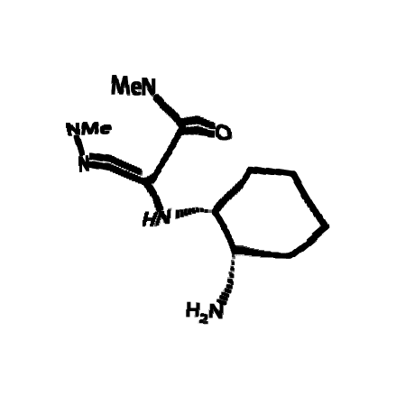 CN/N=C(/N[C@@H]1CCCC[C@@H]1N)C(=O)NC